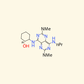 CCCNc1nc(NC)nc2c(NC3CCCC[C@H]3O)nc(NC)nc12